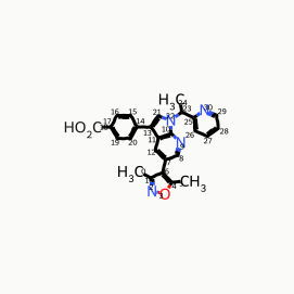 Cc1noc(C)c1-c1cnc2c(c1)c(-c1ccc(C(=O)O)cc1)cn2C(C)c1ccccn1